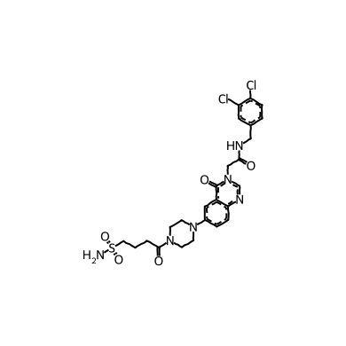 NS(=O)(=O)CCCC(=O)N1CCN(c2ccc3ncn(CC(=O)NCc4ccc(Cl)c(Cl)c4)c(=O)c3c2)CC1